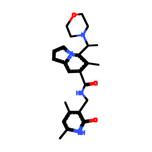 Cc1cc(C)c(CNC(=O)c2cc3cccn3c(C(C)N3CCOCC3)c2C)c(=O)[nH]1